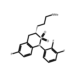 CNCCC[C@H]1Cc2cc(F)ccc2N(c2cccc(F)c2F)S1(=O)=O